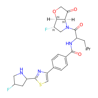 CC(C)CC(NC(=O)c1ccc(-c2csc(C3CC(F)CN3)n2)cc1)C(=O)N1C[C@H](F)[C@H]2OCC(=O)[C@H]21